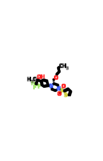 CCCCOC[C@@H]1CN(S(=O)(=O)c2cccs2)CCN1c1ccc([C@](C)(O)C(F)(F)F)cc1